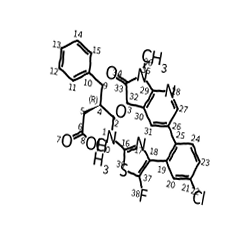 CN(C(=O)[C@@H](CC(=O)O)Cc1ccccc1)c1nc(-c2cc(Cl)ccc2-c2cnc3c(c2)CC(=O)N3C)c(F)s1